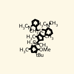 COc1c(C(C)(C)C)cc(C)cc1[Si](C)(C)C1=C(C)[C]([Sc]([CH2]c2ccccc2N(C)C)[CH2]c2ccccc2N(C)C)=C(C)C1